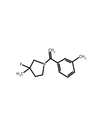 C=C(c1cccc(C)c1)N1CCC(C)(F)C1